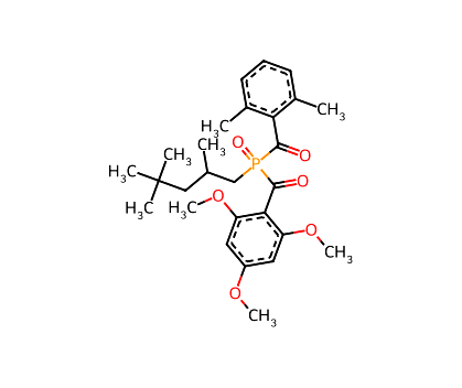 COc1cc(OC)c(C(=O)P(=O)(CC(C)CC(C)(C)C)C(=O)c2c(C)cccc2C)c(OC)c1